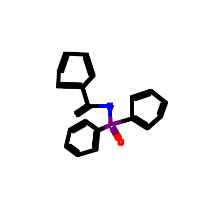 C=C([N]P(=O)(c1ccccc1)c1ccccc1)c1ccccc1